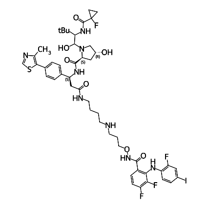 Cc1ncsc1-c1ccc([C@H](CC(=O)NCCCCNCCCONC(=O)c2ccc(F)c(F)c2Nc2ccc(I)cc2F)NC(=O)[C@@H]2C[C@@H](O)CN2C(O)C(NC(=O)C2(F)CC2)C(C)(C)C)cc1